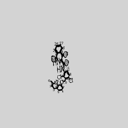 CC1CCc2cccc(OCc3c(Cl)ccc(NC(=O)C4NC(=O)c5ccccc5C4=O)c3Cl)c2N1C